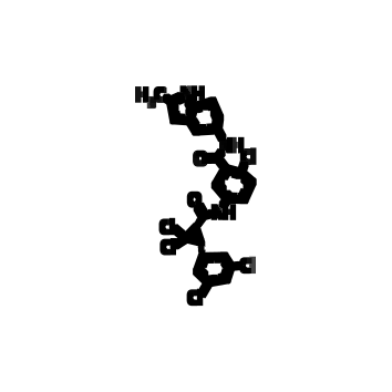 Cc1cc2cc(NC(=O)c3cc(NC(=O)[C@H]4[C@H](c5cc(Cl)cc(Cl)c5)C4(Cl)Cl)ccc3Cl)ccc2[nH]1